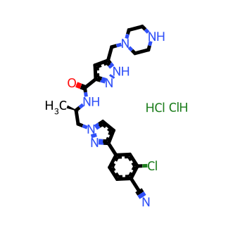 C[C@H](Cn1ccc(-c2ccc(C#N)c(Cl)c2)n1)NC(=O)c1cc(CN2CCNCC2)[nH]n1.Cl.Cl